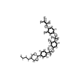 CCCCC1COC(c2ccc(C(F)(F)Oc3ccc(C(F)(F)Oc4ccc(OC(F)=C(F)F)c(F)c4)c(F)c3)cc2)OC1